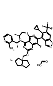 C[C@H](c1cccnc1N)N1c2nc(OC[C@@]34CCCN3C[C@H](F)C4)nc3c(F)c(-c4c(C5CC5)c(C(F)(F)F)cc5[nH]ncc45)nc(c23)OC[C@@H]1C.O=CO